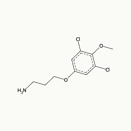 COc1c(Cl)cc(OCCCN)cc1Cl